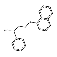 CC(C)[C@H](CCOc1cccc2ccccc12)c1ccccc1